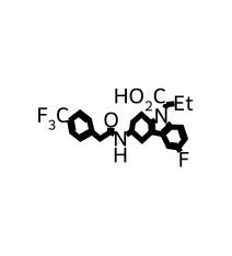 CCC(C(=O)O)n1c2c(c3cc(F)ccc31)CC(NC(=O)Cc1ccc(C(F)(F)F)cc1)CC2